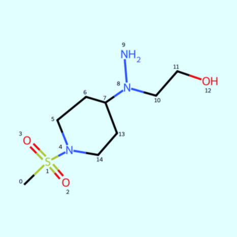 CS(=O)(=O)N1CCC(N(N)CCO)CC1